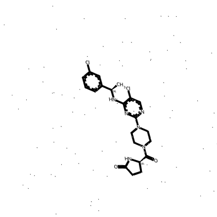 C[C@@H](Nc1nc(N2CCN(C(=O)[C@H]3CCC(=O)N3)CC2)ncc1Cl)c1cccc(Cl)c1